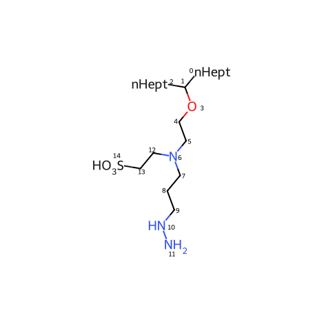 CCCCCCCC(CCCCCCC)OCCN(CCCNN)CCS(=O)(=O)O